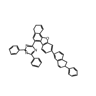 C1=Cc2c(cc(-c3nc(-c4ccccc4)nc(-c4ccccc4)n3)c3c2oc2cc(-c4ccc5c(c4)C=CC(c4ccccc4)C5)ccc23)CC1